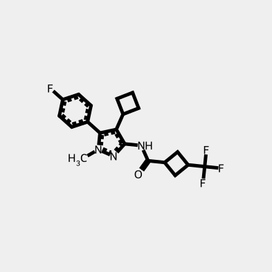 Cn1nc(NC(=O)C2CC(C(F)(F)F)C2)c(C2CCC2)c1-c1ccc(F)cc1